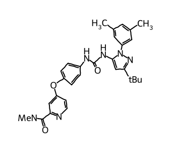 CNC(=O)c1cc(Oc2ccc(NC(=O)Nc3cc(C(C)(C)C)nn3-c3cc(C)cc(C)c3)cc2)ccn1